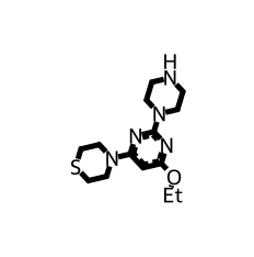 CCOc1cc(N2CCSCC2)nc(N2CCNCC2)n1